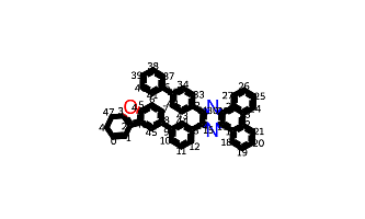 C1=Cc2c(oc3ccc(-c4cccc(-c5nc6c7ccccc7c7ccccc7c6nc5-c5ccc(-c6ccccc6)cc5)c4)cc23)CC1